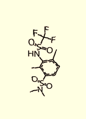 Cc1ccc(S(=O)(=O)N(C)C)c(C)c1NS(=O)(=O)C(F)(F)F